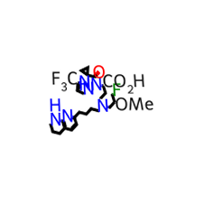 COC(CF)CN(CCCCc1ccc2c(n1)NCCC2)CCC(NC(=O)C1(n2nccc2C(F)(F)F)CC1)C(=O)O